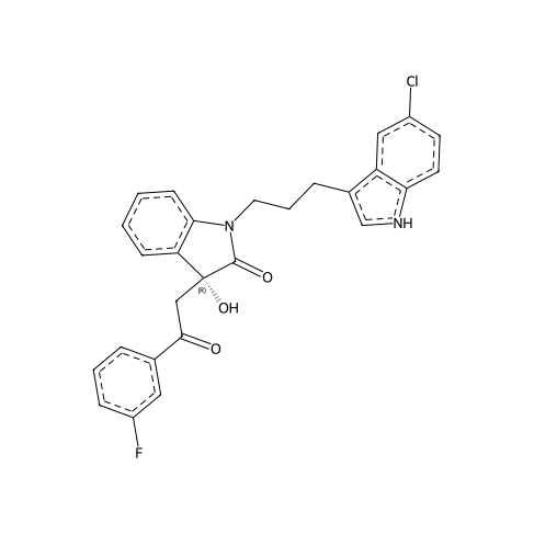 O=C(C[C@]1(O)C(=O)N(CCCc2c[nH]c3ccc(Cl)cc23)c2ccccc21)c1cccc(F)c1